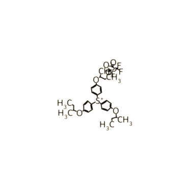 CCC(C)Oc1ccc([S+](c2ccc(OC(C)CC)cc2)c2ccc(OC(C)CC)cc2)cc1.O=S(=O)([O-])C(F)(F)F